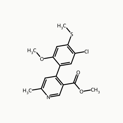 COC(=O)c1cnc(C)cc1-c1cc(Cl)c(SC)cc1OC